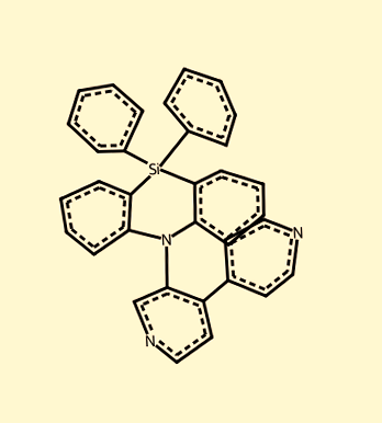 c1ccc([Si]2(c3ccccc3)c3ccccc3N(c3cnccc3-c3ccncc3)c3ccccc32)cc1